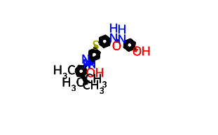 Cc1cc(-n2nc3ccc(Sc4ccc(NC(=O)Nc5ccc(O)cc5)cc4)cc3n2)c(O)c(C(C)(C)C)c1